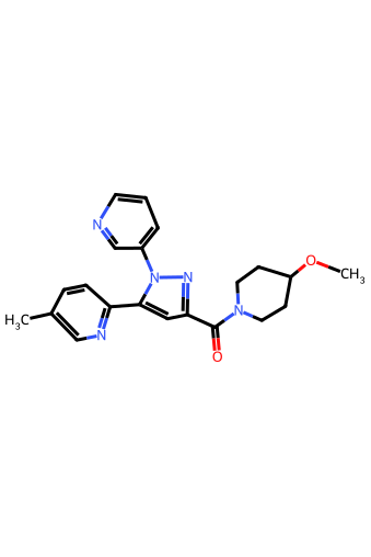 COC1CCN(C(=O)c2cc(-c3ccc(C)cn3)n(-c3cccnc3)n2)CC1